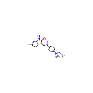 CCCN(CC1CC1)c1ccc(NC=C2C(=O)Nc3cc(F)ccc32)cc1